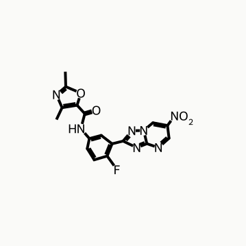 Cc1nc(C)c(C(=O)Nc2ccc(F)c(-c3nc4ncc([N+](=O)[O-])cn4n3)c2)o1